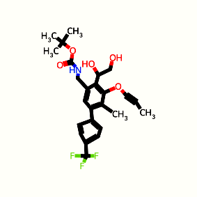 CC#COc1c(C)c(-c2ccc(C(F)(F)F)cc2)cc(CNC(=O)OC(C)(C)C)c1C(O)CO